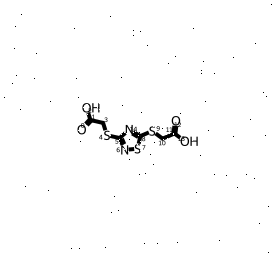 O=C(O)CSc1nsc(SCC(=O)O)n1